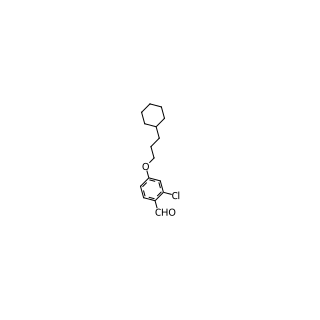 O=Cc1ccc(OCCCC2CCCCC2)cc1Cl